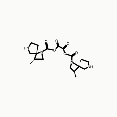 C[C@H]1CN(C(=O)OC(=O)C(=O)OC(=O)N2C[C@H](C)[C@@]23CCNC3)[C@]12CCNC2